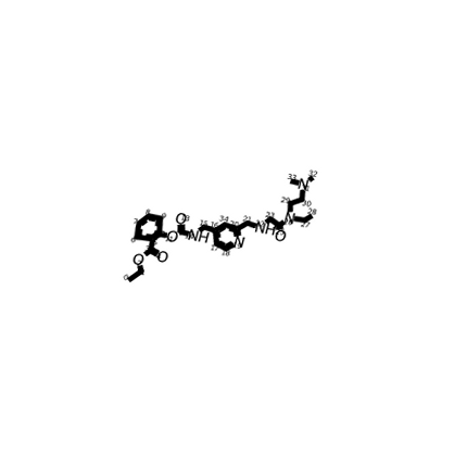 CCOC(=O)c1ccccc1OC(=O)NCc1ccnc(CNCC(=O)N(CC)CCN(C)C)c1